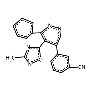 Cc1noc(-c2c(-c3cccc(C#N)c3)cnnc2-c2ccccc2)n1